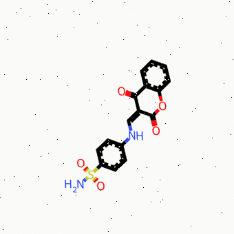 NS(=O)(=O)c1ccc(N/C=C2\C(=O)Oc3ccccc3C2=O)cc1